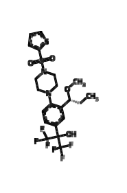 CC[C@@H](OC)c1cc(C(O)(C(F)(F)F)C(F)(F)F)ccc1N1CCN(S(=O)(=O)c2cccs2)CC1